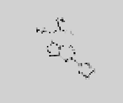 CC(N(C)C)n1ccc2cc(-n3cnnc3)ccc21